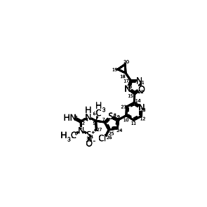 CN1C(=N)N[C@](C)(c2sc(-c3ccnc(-c4nc(C5CC5)no4)c3)cc2Cl)C[S+]1[O-]